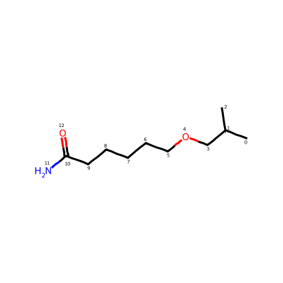 C[C](C)COCCCCCC(N)=O